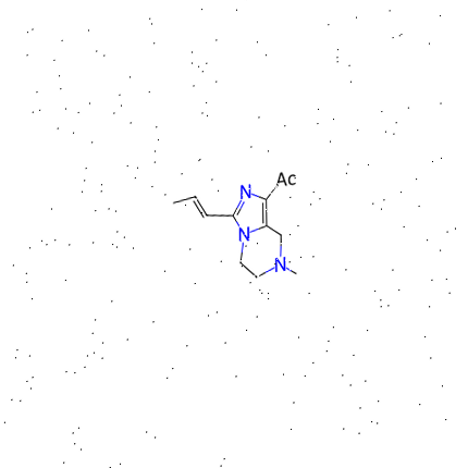 CC=Cc1nc(C(C)=O)c2n1CCN(C)C2